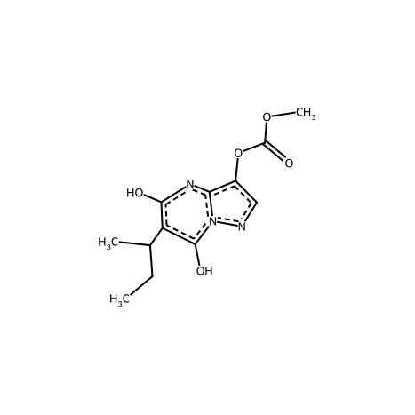 CCC(C)c1c(O)nc2c(OC(=O)OC)cnn2c1O